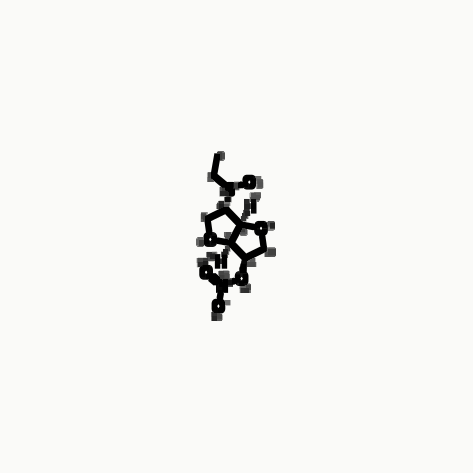 CC[S+]([O-])[C@H]1CO[C@H]2[C@@H]1OC[C@H]2O[N+](=O)[O-]